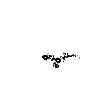 Br.Br.Br.NCCCC[C@H](N)C(=O)Oc1cccc(-c2cn3c(n2)sc2ccccc23)c1